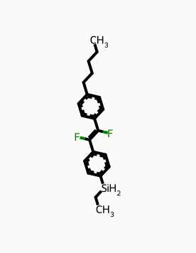 CCCCCc1ccc(C(F)=C(F)c2ccc([SiH2]CC)cc2)cc1